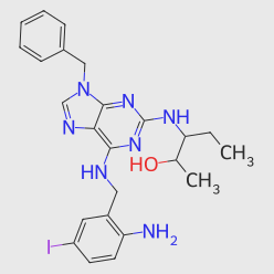 CCC(Nc1nc(NCc2cc(I)ccc2N)c2ncn(Cc3ccccc3)c2n1)C(C)O